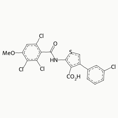 COc1cc(Cl)c(C(=O)Nc2scc(-c3cccc(Cl)c3)c2C(=O)O)c(Cl)c1Cl